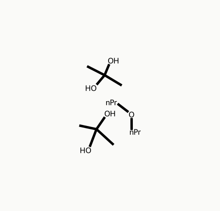 CC(C)(O)O.CC(C)(O)O.CCCOCCC